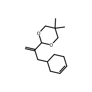 C=C(CC1CC=CCC1)C1OCC(C)(C)CO1